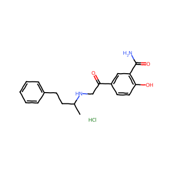 CC(CCc1ccccc1)NCC(=O)c1ccc(O)c(C(N)=O)c1.Cl